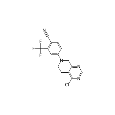 N#Cc1ccc(N2CCc3c(Cl)ncnc3C2)cc1C(F)(F)F